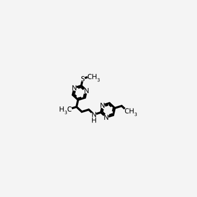 CCc1cnc(NCCC(C)c2cnc(SC)nc2)nc1